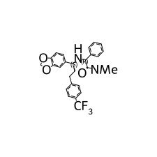 CNC(=O)[C@H](N[C@@H](CCc1ccc(C(F)(F)F)cc1)c1ccc2c(c1)OCO2)c1ccccc1